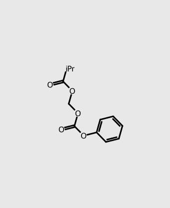 CC(C)C(=O)OCOC(=O)Oc1ccccc1